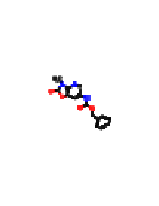 Cn1c(=O)oc2cc(NC(=O)OCc3ccccc3)cnc21